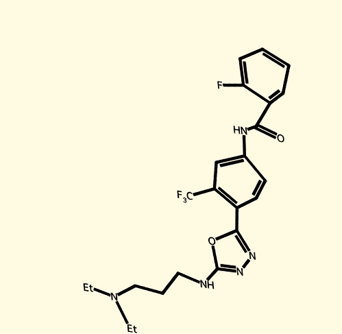 CCN(CC)CCCNc1nnc(-c2ccc(NC(=O)c3ccccc3F)cc2C(F)(F)F)o1